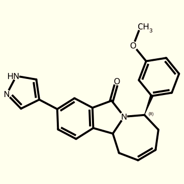 COc1cccc([C@H]2CC=CCC3c4ccc(-c5cn[nH]c5)cc4C(=O)N32)c1